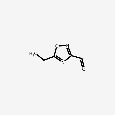 CCc1nc([C]=O)no1